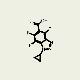 O=C(O)c1c(F)c(F)c2c(nnn2C2CC2)c1F